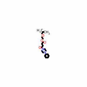 C=C(C)COCCOC(=O)CCC(=O)N1CCN(c2cc[c]cc2)CC1